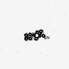 N#Cc1ccc2c(c1)c1cc3cc(c4ccccc4c4nc(-c5cccc([Si](c6ccccc6)(c6ccccc6)c6ccccc6)c5)nc(n4)c4ccccc34)c1n2-c1ccccc1